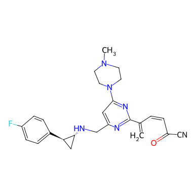 C=C(/C=C\C(=O)C#N)c1nc(CN[C@@H]2C[C@H]2c2ccc(F)cc2)cc(N2CCN(C)CC2)n1